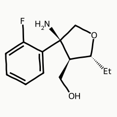 CC[C@H]1OC[C@@](N)(c2ccccc2F)[C@@H]1CO